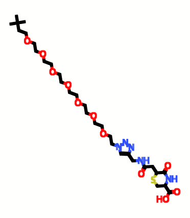 CC(C)(C)CCOCCOCCOCCOCCOCCOCCOCCn1cc(CNC(=O)CC2SCC(C(=O)O)NC2=O)nn1